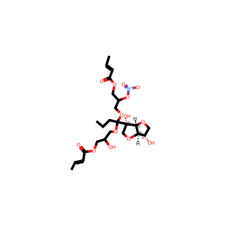 CC=CC(=O)OCC(O)COC(CCC)(OCC(COC(=O)C=CC)O[N+](=O)[O-])[C@]1(O)CO[C@@H]2[C@@H](O)CO[C@@H]21